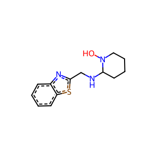 ON1CCCCC1NCc1nc2ccccc2s1